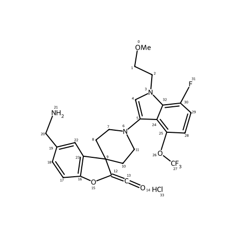 COCCn1cc(N2CCC3(CC2)C(=C=O)Oc2ccc(CN)cc23)c2c(OC(F)(F)F)ccc(F)c21.Cl